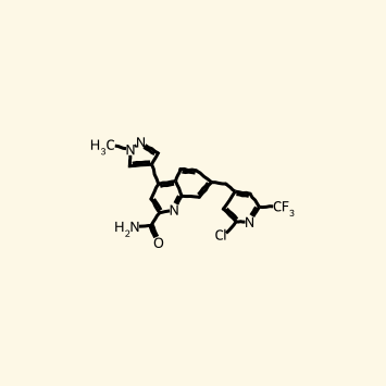 Cn1cc(-c2cc(C(N)=O)nc3cc(Cc4cc(Cl)nc(C(F)(F)F)c4)ccc23)cn1